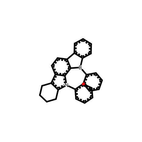 c1ccc(B2c3ccccc3-c3ccc4c5c(n(-c6ccccc6)c4c32)CCCC5)cc1